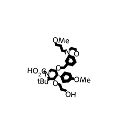 COCCCN1CCOc2ccc(CO[C@H]3CN(C(=O)O)C(C(C)(C)C)[C@@H](OCCCO)[C@H]3c3ccc(OC)cc3)cc21